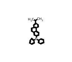 CC(C)c1ccc2c(ccc3cc(N(c4ccccc4)c4ccccc4)ccc32)c1